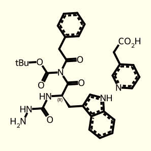 CC(C)(C)OC(=O)N(C(=O)Cc1ccccc1)C(=O)[C@@H](Cc1c[nH]c2ccccc12)NC(=O)NN.O=C(O)Cc1cccnc1